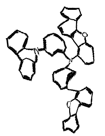 c1cc(-c2cccc3c2oc2ccccc23)cc(N(c2cccc(-n3c4ccccc4c4ccccc43)c2)c2cccc3oc4c5ccccc5ccc4c23)c1